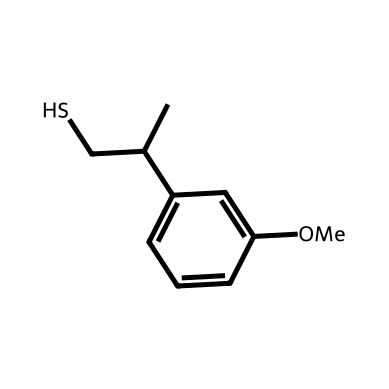 COc1cccc(C(C)CS)c1